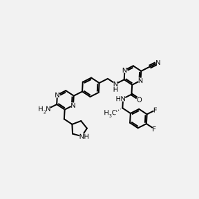 C[C@H](NC(=O)c1nc(C#N)cnc1NCc1ccc(-c2cnc(N)c(CC3CCNC3)n2)cc1)c1ccc(F)c(F)c1